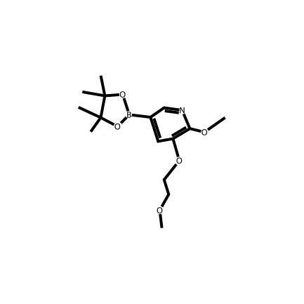 COCCOc1cc(B2OC(C)(C)C(C)(C)O2)cnc1OC